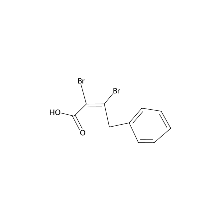 O=C(O)/C(Br)=C(/Br)Cc1ccccc1